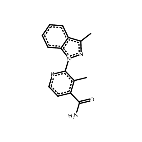 Cc1c(C(N)=O)ccnc1-n1nc(C)c2ccccc21